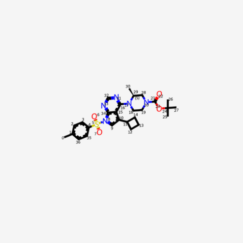 Cc1ccc(S(=O)(=O)n2cc(C3CCC3)c3c(N4CCN(C(=O)OC(C)(C)C)C[C@@H]4C)ncnc32)cc1